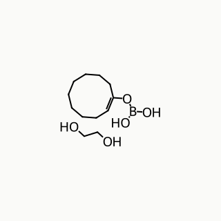 OB(O)OC1=CCCCCCCCC1.OCCO